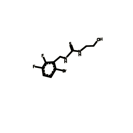 OCCNC(=S)NCc1c(Br)ccc(F)c1F